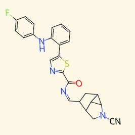 N#CN1CC2C(/C=N\C(=O)c3ncc(-c4ccccc4Nc4ccc(F)cc4)s3)CC3C2C31